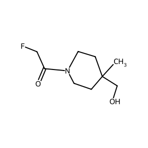 CC1(CO)CCN(C(=O)CF)CC1